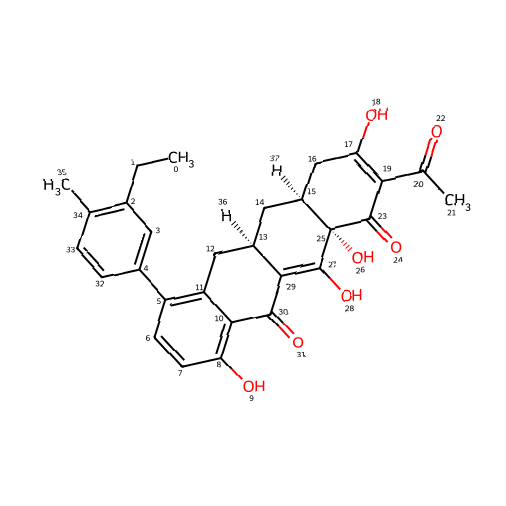 CCc1cc(-c2ccc(O)c3c2C[C@H]2C[C@H]4CC(O)=C(C(C)=O)C(=O)[C@@]4(O)C(O)=C2C3=O)ccc1C